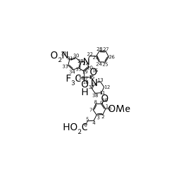 COc1cc(CCC(=O)O)ccc1OC1CCN(C(=O)C(O)(c2cn(Cc3ccccc3)c3cc([N+](=O)[O-])ccc23)C(F)(F)F)CC1